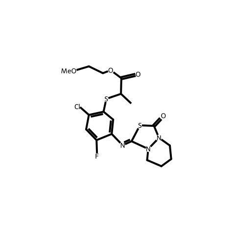 COCCOC(=O)C(C)Sc1cc(N=c2sc(=O)n3n2CCCC3)c(F)cc1Cl